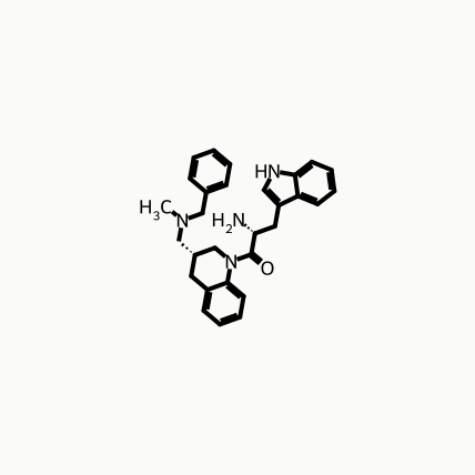 CN(Cc1ccccc1)C[C@H]1Cc2ccccc2N(C(=O)[C@H](N)Cc2c[nH]c3ccccc23)C1